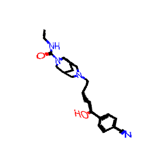 CCNC(=O)N1CC2CC(CN(CCCC(O)c3ccc(C#N)cc3)C2)C1